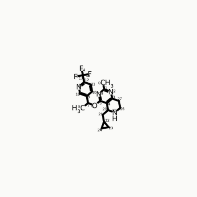 Cc1nc2c(c(OC(C)c3ccc(C(F)(F)F)nc3)n1)C(CC1CC1)NCC2